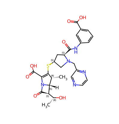 C[C@@H](O)[C@H]1C(=O)N2C(C(=O)O)=C(S[C@H]3C[C@@H](C(=O)Nc4cccc(C(=O)O)c4)N(Cc4cnccn4)C3)[C@H](C)[C@H]12